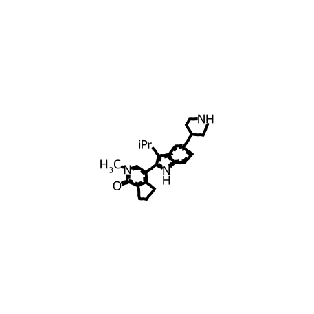 CC(C)c1c(-c2cn(C)c(=O)c3c2CCC3)[nH]c2ccc(C3CCNCC3)cc12